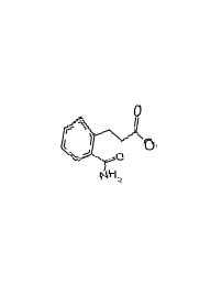 NC(=O)c1ccccc1CCC([O])=O